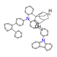 C[C@H]1CC2CC3=C[C@@H](C2)CC3(c2ccccc2N(c2ccc(-c3cccc(-n4c5ccccc5c5ccccc54)c3)cc2)c2ccc(-c3ccccc3-c3ccccc3)cc2)C1